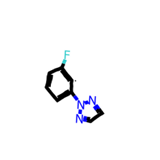 Fc1[c]c(-n2nccn2)ccc1